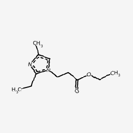 CCOC(=O)CCn1cc(C)nc1CC